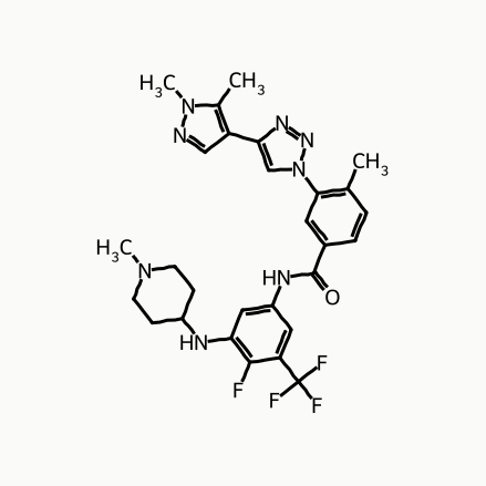 Cc1ccc(C(=O)Nc2cc(NC3CCN(C)CC3)c(F)c(C(F)(F)F)c2)cc1-n1cc(-c2cnn(C)c2C)nn1